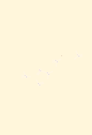 c1ccc(Nc2nc3cccc(N[C@@H]4CCNC4)n3n2)cc1